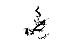 C=CCON1C(=O)N2C[C@H]1C(c1cnco1)=C[C@H]2COC